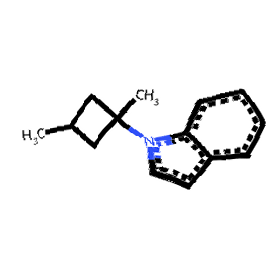 CC1CC(C)(n2ccc3ccccc32)C1